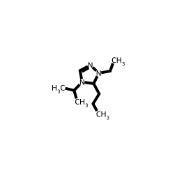 CCCC1N(CC)N=CN1C(C)C